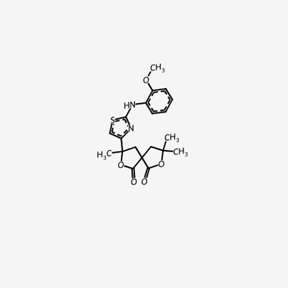 COc1ccccc1Nc1nc(C2(C)CC3(CC(C)(C)OC3=O)C(=O)O2)cs1